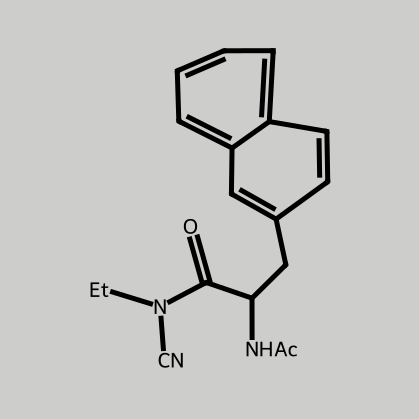 CCN(C#N)C(=O)C(Cc1ccc2ccccc2c1)NC(C)=O